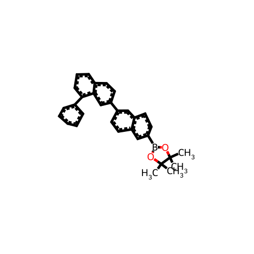 CC1(C)OB(c2ccc3cc(-c4ccc5cccc(-c6ccccc6)c5c4)ccc3c2)OC1(C)C